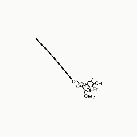 C#CC#CC#CC#CC#CC#CC#CC#CC#COCC(O)CN(CC(O)COC)c1cc(C)c(O)c(CC)c1